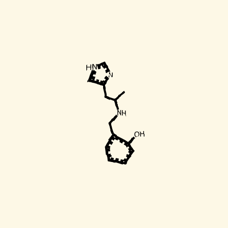 CC(Cc1c[nH]cn1)NCc1ccccc1O